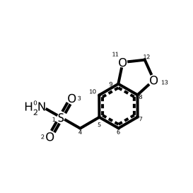 NS(=O)(=O)Cc1ccc2c(c1)OCO2